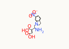 NC(CN1CCc2ccc([N+](=O)[O-])cc21)/C(=C/C(=O)O)C(=O)O